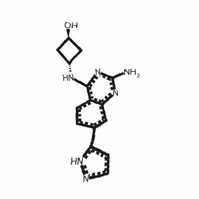 Nc1nc(N[C@H]2C[C@H](O)C2)c2ccc(-c3ccn[nH]3)cc2n1